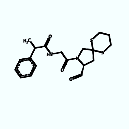 CC(C(=O)NCC(=O)N1CC2(C[C@H]1C=O)SCCCS2)c1ccccc1